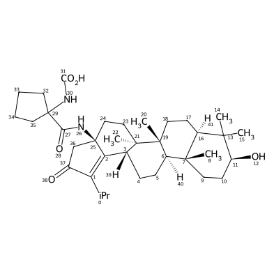 CC(C)C1=C2[C@H]3CC[C@@H]4[C@@]5(C)CC[C@H](O)C(C)(C)[C@@H]5CC[C@@]4(C)[C@]3(C)CC[C@@]2(NC(=O)C2(NC(=O)O)CCCC2)CC1=O